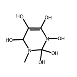 CN1C(O)C(O)=C(O)N(O)C1(O)O